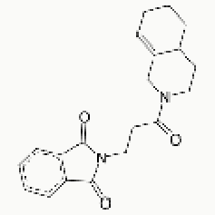 O=C(CCN1C(=O)c2ccccc2C1=O)N1CCC2CCCC=C2C1